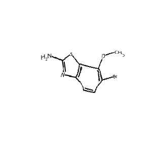 COc1c(Br)ccc2nc(N)sc12